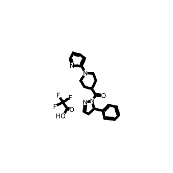 O=C(C1CCN(c2ccccn2)CC1)N1N=CCC1c1ccccc1.O=C(O)C(F)(F)F